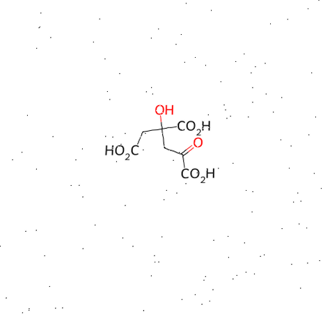 O=C(O)CC(O)(CC(=O)C(=O)O)C(=O)O